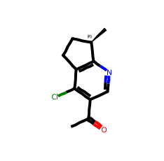 CC(=O)c1cnc2c(c1Cl)CC[C@H]2C